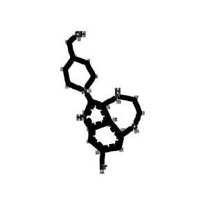 OCC1CCN(c2[nH]c3cc(Br)cc4c3c2NCCO4)CC1